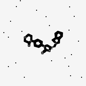 O=C1COCCN1c1ccc(N2C[C@H](CN3Cc4ccccc4C3)OC2=O)cc1